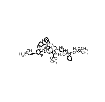 COC(=O)c1nc(N(CCCC(CO)O[Si](c2ccccc2)(c2ccccc2)C(C)(C)C)c2cc(C)c(/N=c3\sc4ccccc4n3COCC[Si](C)(C)C)nn2)sc1CCCOc1ccc(C#CCN(C)C)cc1F